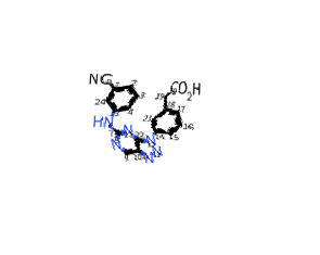 N#Cc1cccc(Nc2ncc3nnn(-c4cccc(CC(=O)O)c4)c3n2)c1